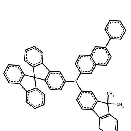 CC1(C)C2=C(CCC=C2)c2ccc(N(c3ccc4c(c3)-c3ccccc3C43c4ccccc4-c4ccccc43)c3ccc4cc(-c5ccccc5)ccc4c3)cc21